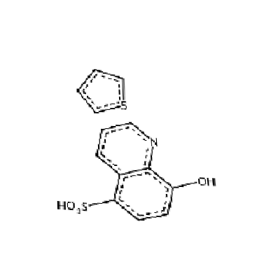 O=S(=O)(O)c1ccc(O)c2ncccc12.c1ccsc1